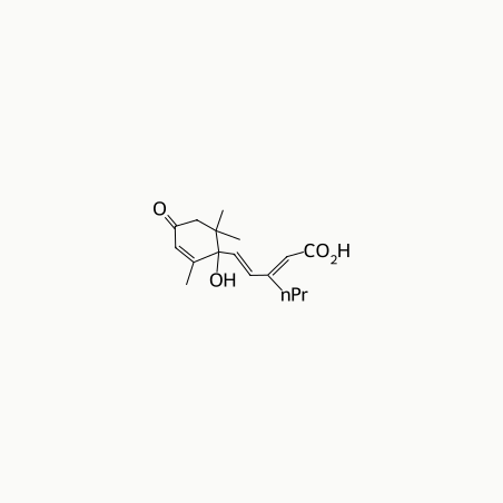 CCCC(C=CC1(O)C(C)=CC(=O)CC1(C)C)=CC(=O)O